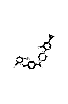 Cc1cc(C2CC2)cnc1N1CCN(C(=O)c2ccc(CN3C(=O)OC[C@H]3C)cc2)CC1